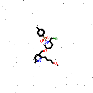 COCCCCc1nc(C)ccc1COC1CCC(CBr)N(S(=O)(=O)c2ccc(C)cc2)C1